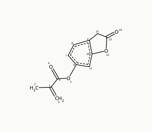 C=C(C)C(=O)Oc1ccc2c(c1)OC(=O)C2